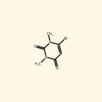 Cn1c(Br)cc(=O)n(C)c1=O